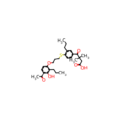 CCCc1cc(C(=O)C(C)(C)CC(=O)O)ccc1SCCCOc1ccc(C(C)=O)c(O)c1CCC